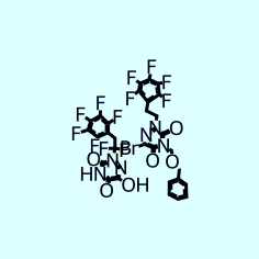 O=c1[nH]c(=O)n(C(F)(F)Cc2c(F)c(F)c(F)c(F)c2F)nc1O.O=c1c(Br)nn(CCc2c(F)c(F)c(F)c(F)c2F)c(=O)n1COCc1ccccc1